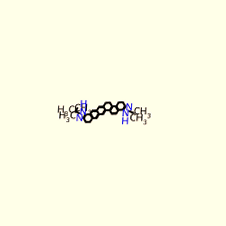 CC(C)c1nc2c([nH]1)-c1ccc3c(c1CC2)CCc1cc2cc4c(cc2cc1-3)CCc1nc(C(C)(C)C)[nH]c1-4